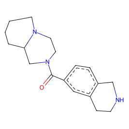 O=C(c1ccc2c(c1)CCNC2)N1CCN2CCCCC2C1